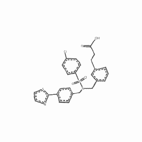 O=C(O)CCc1cccc(CN(Cc2ccc(-c3nccs3)cc2)S(=O)(=O)c2ccc(Cl)cc2)c1